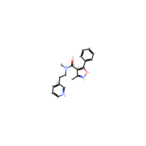 Cc1noc(-c2ccccc2)c1C(=O)N(C)CCc1cccnc1